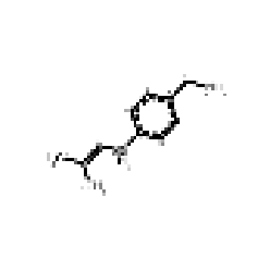 CC(C)=C[SiH2]c1ccc(CN)cc1